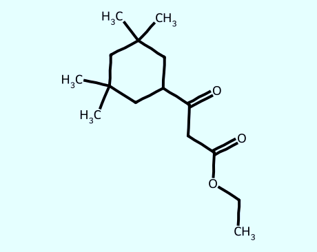 CCOC(=O)CC(=O)C1CC(C)(C)CC(C)(C)C1